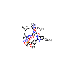 COc1ccc2c(O[C@@H]3C[C@H]4C(=O)N[C@]5(C(=O)NS(=O)(=O)C6(C)CC6)C[C@H]5/C=C\CC[C@H](C)C[C@@H](C)[C@H](NC(=O)O)C(=O)N4C3)nc(-c3ccc(OC(C)C)cc3)nc2c1